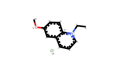 CC[n+]1cccc2cc(OC)ccc21.[Cl-]